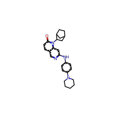 O=c1ccc2cnc(Nc3ccc(N4CCCCC4)cc3)cc2n1C1CC2CCC1C2